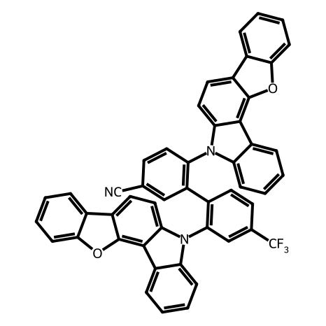 N#Cc1ccc(-n2c3ccccc3c3c4oc5ccccc5c4ccc32)c(-c2ccc(C(F)(F)F)cc2-n2c3ccccc3c3c4oc5ccccc5c4ccc32)c1